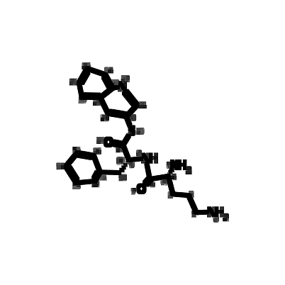 NCCC[C@@H](N)C(=O)N[C@H](Cc1ccccc1)C(=O)Sc1cnc2ccccc2c1